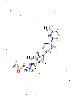 Cc1cncc(-c2ccc(NC(=O)C(C)(C)c3csc(NS(=O)(=O)C4CC4)n3)cc2)n1